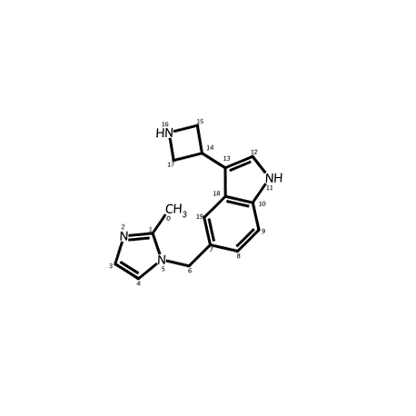 Cc1nccn1Cc1ccc2[nH]cc(C3CNC3)c2c1